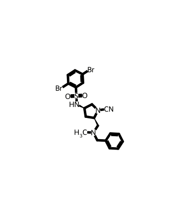 CN(Cc1ccccc1)C[C@H]1C[C@@H](NS(=O)(=O)c2cc(Br)ccc2Br)CN1C#N